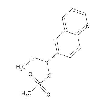 CCC(OS(C)(=O)=O)c1ccc2ncccc2c1